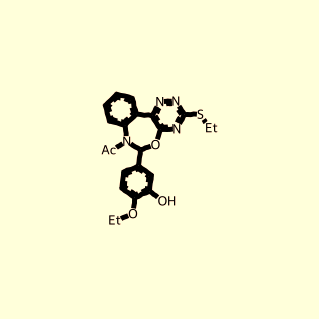 CCOc1ccc(C2Oc3nc(SCC)nnc3-c3ccccc3N2C(C)=O)cc1O